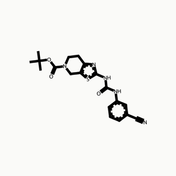 CC(C)(C)OC(=O)N1CCc2nc(NC(=O)Nc3cccc(C#N)c3)sc2C1